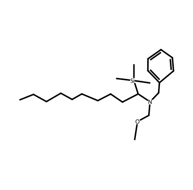 CCCCCCCCCC(N(COC)Cc1ccccc1)[Si](C)(C)C